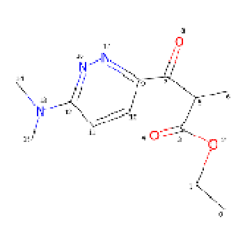 CCOC(=O)C(C)C(=O)c1ccc(N(C)C)nn1